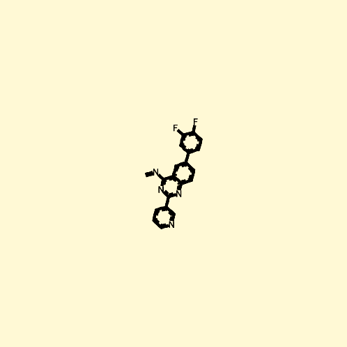 C=Nc1nc(-c2cccnc2)nc2ccc(-c3ccc(F)c(F)c3)cc12